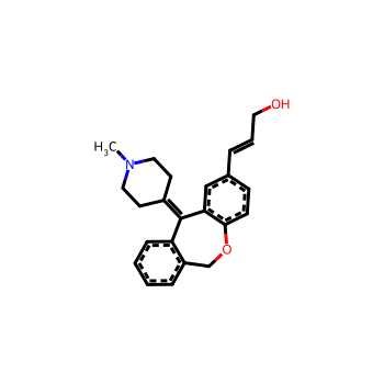 CN1CCC(=C2c3ccccc3COc3ccc(/C=C/CO)cc32)CC1